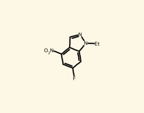 CCn1ncc2c([N+](=O)[O-])cc(F)cc21